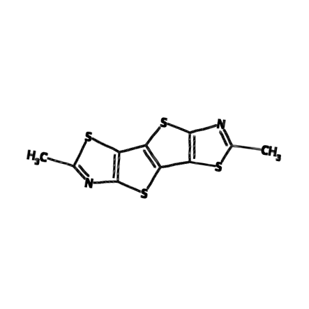 Cc1nc2sc3c4sc(C)nc4sc3c2s1